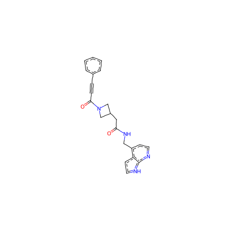 O=C(CC1CN(C(=O)C#Cc2ccccc2)C1)NCc1ccnc2[nH]ccc12